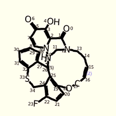 O=C1c2c(O)c(=O)ccn2N2CN1CC/C=C\COc1ccc(F)c3c1[C@H]2c1ccccc1SC3